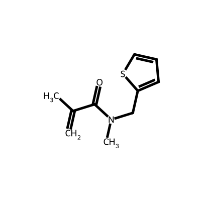 C=C(C)C(=O)N(C)Cc1cccs1